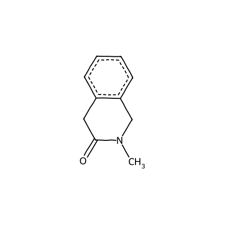 CN1Cc2ccccc2CC1=O